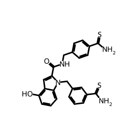 NC(=S)c1ccc(CNC(=O)c2cc3c(O)cccc3n2Cc2cccc(C(N)=S)c2)cc1